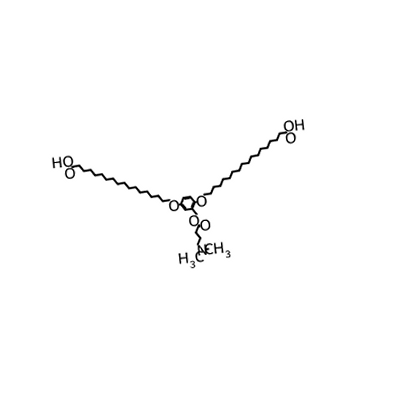 CN(C)CCCC(=O)OCc1cc(OCCCCCCCCCCCCCCCCCC(=O)O)ccc1OCCCCCCCCCCCCCCCCCC(=O)O